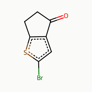 O=C1CCc2sc(Br)cc21